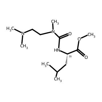 COC(=O)[C@H](CC(C)C)NC(=O)N(C)CCN(C)C